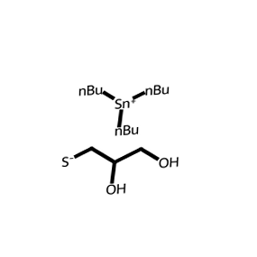 CCC[CH2][Sn+]([CH2]CCC)[CH2]CCC.OCC(O)C[S-]